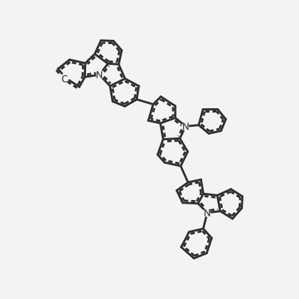 c1ccc(-n2c3ccccc3c3cc(-c4ccc5c6cc(-c7ccc8c(c7)c7cccc9c%10ccccc%10n8c97)ccc6n(-c6ccccc6)c5c4)ccc32)cc1